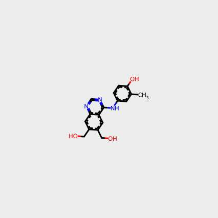 Cc1cc(Nc2ncnc3cc(CO)c(CO)cc23)ccc1O